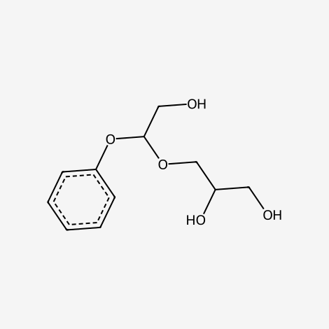 OCC(O)COC(CO)Oc1ccccc1